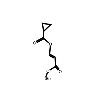 CC(C)(C)OC(=O)C=COC(=O)C1CC1